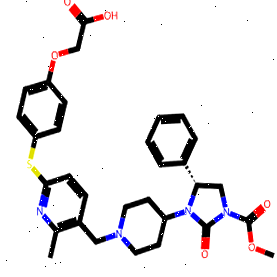 COC(=O)N1C[C@@H](c2ccccc2)N(C2CCN(Cc3ccc(Sc4ccc(OCC(=O)O)cc4)nc3C)CC2)C1=O